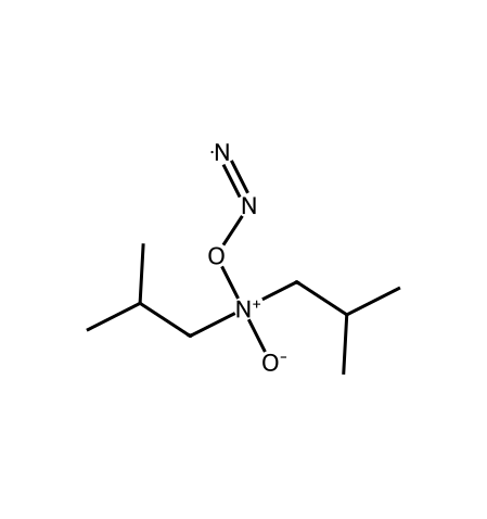 CC(C)C[N+]([O-])(CC(C)C)ON=[N]